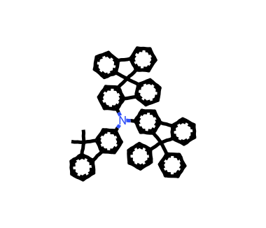 CC1(C)c2ccccc2-c2ccc(N(c3ccc4c(c3)C(c3ccccc3)(c3ccccc3)c3ccccc3-4)c3cccc4c3-c3ccccc3C43c4ccccc4-c4ccccc43)cc21